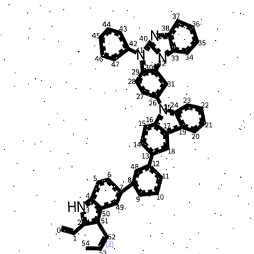 C=Cc1[nH]c2ccc(-c3cccc(-c4ccc5c(c4)c4ccccc4n5-c4ccc5c(c4)n4c6ccccc6nc4n5-c4ccccc4)c3)cc2c1/C=C\C